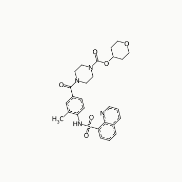 Cc1cc(C(=O)N2CCN(C(=O)OC3CCOCC3)CC2)ccc1NS(=O)(=O)c1cccc2cccnc12